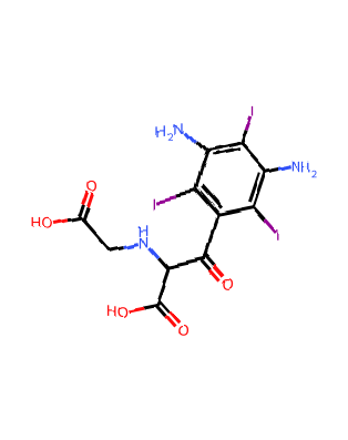 Nc1c(I)c(N)c(I)c(C(=O)C(NCC(=O)O)C(=O)O)c1I